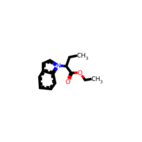 CCOC(=O)C(CC)n1ccc2ccccc21